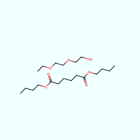 CCCCOC(=O)CCCCC(=O)OCCCC.CCOCCOCCO